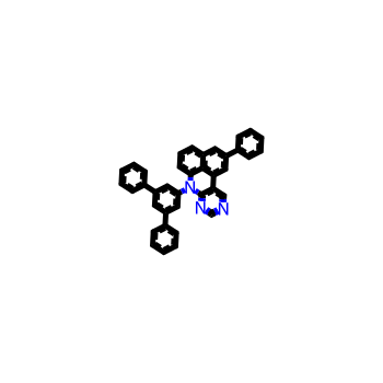 c1ccc(-c2cc(-c3ccccc3)cc(N3c4ncncc4-c4cc(-c5ccccc5)cc5cccc3c45)c2)cc1